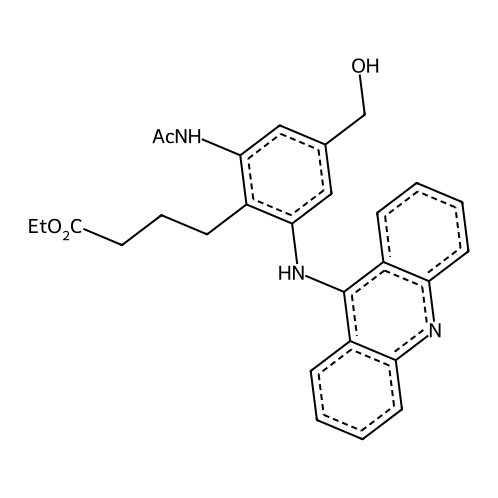 CCOC(=O)CCCc1c(NC(C)=O)cc(CO)cc1Nc1c2ccccc2nc2ccccc12